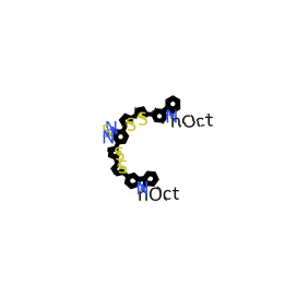 CCCCCCCCn1c2ccccc2c2cc(-c3ccc(-c4ccc(-c5ccc(-c6ccc(-c7ccc(-c8ccc9c(c8)c8ccccc8n9CCCCCCCC)s7)s6)c6nsnc56)s4)s3)ccc21